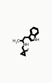 CC(Cc1c[nH]c2ccccc12)NCC1(F)CC1